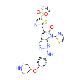 CS(=O)(=O)c1cnc(-c2cc3cnc(Nc4ccc(OC5CCNCC5)cc4)nc3n(-c3nccs3)c2=O)s1